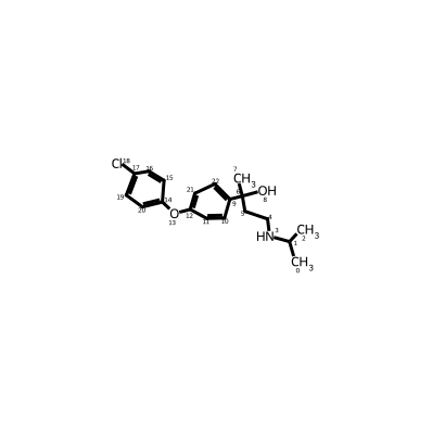 CC(C)NCCC(C)(O)c1ccc(Oc2ccc(Cl)cc2)cc1